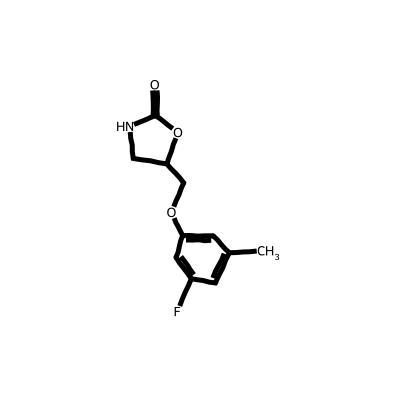 Cc1cc(F)cc(OCC2CNC(=O)O2)c1